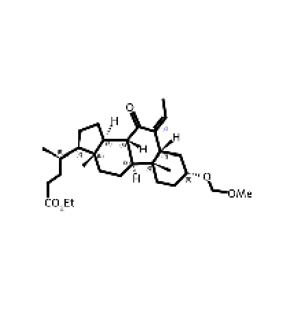 C/C=C1\C(=O)[C@@H]2[C@H](CC[C@]3(C)[C@@H]([C@H](C)CCC(=O)OCC)CC[C@@H]23)[C@@]2(C)CC[C@@H](OCOC)C[C@@H]12